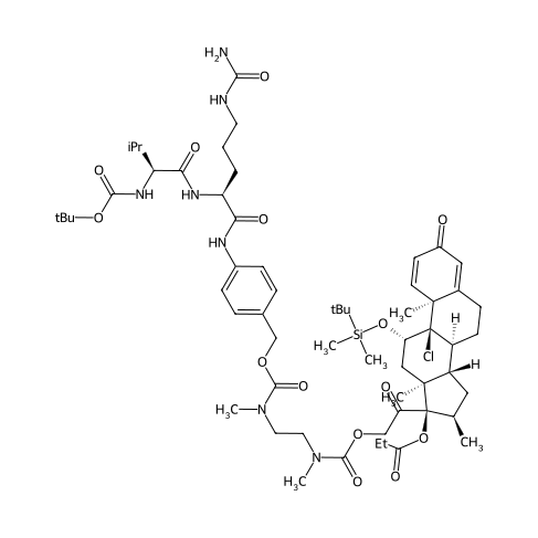 CCC(=O)O[C@]1(C(=O)COC(=O)N(C)CCN(C)C(=O)OCc2ccc(NC(=O)[C@H](CCCNC(N)=O)NC(=O)[C@@H](NC(=O)OC(C)(C)C)C(C)C)cc2)[C@H](C)C[C@H]2[C@@H]3CCC4=CC(=O)C=C[C@]4(C)[C@@]3(Cl)[C@@H](O[Si](C)(C)C(C)(C)C)C[C@@]21C